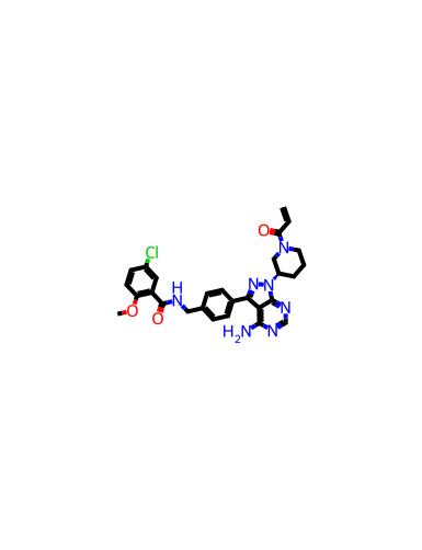 C=CC(=O)N1CCC[C@@H](n2nc(-c3ccc(CNC(=O)c4cc(Cl)ccc4OC)cc3)c3c(N)ncnc32)C1